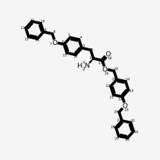 N[C@@H](Cc1ccc(OCc2ccccc2)cc1)C(=O)OCc1ccc(OCc2ccccc2)cc1